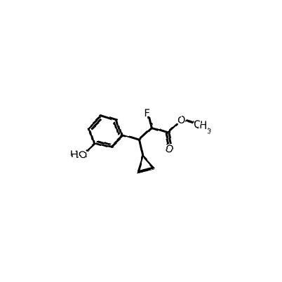 COC(=O)C(F)C(c1cccc(O)c1)C1CC1